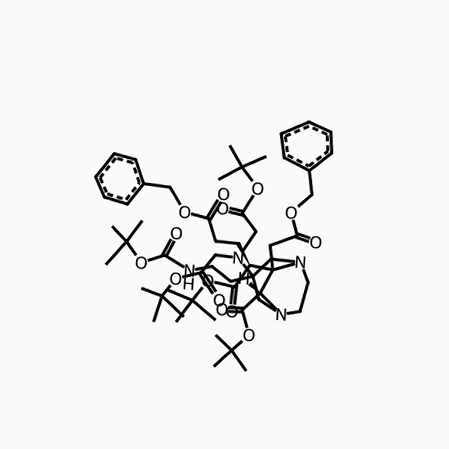 CC(C)(C)OC(=O)CN(CC(=O)OC(C)(C)C)C1(CCNC(=O)OC(C)(C)C)CN2CCN(C1)C(CC(=O)OCc1ccccc1)([C@H](CCC(=O)OCc1ccccc1)C(=O)OC(C)(C)C)[C@H]2C(=O)OC(C)(C)C